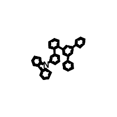 c1ccc(-c2cc(-c3ccccc3)cc(-c3ccccc3-c3cccc(-n4c5ccccc5c5ccccc54)c3)c2)cc1